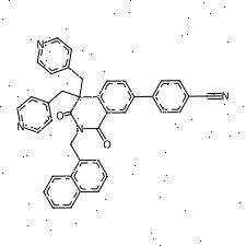 N#Cc1ccc(-c2ccc3c(c2)C(=O)N(Cc2cccc4ccccc24)C(=O)C3(Cc2ccncc2)Cc2ccncc2)cc1